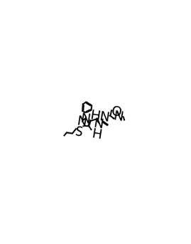 C=C(NCc1c(C)c(SCCCC)nn1-c1ccccc1)N[C@H]1CON(CC)C1